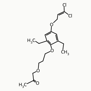 CCc1cc(OCC=C(Cl)Cl)cc(CC)c1OCCCOCC(C)=O